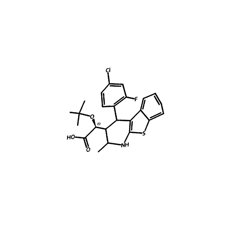 CC1Nc2sc3ccccc3c2C(c2ccc(Cl)cc2F)C1[C@H](OC(C)(C)C)C(=O)O